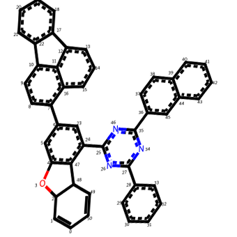 C1=CC2Oc3cc(-c4ccc5c6c(cccc46)-c4ccccc4-5)cc(-c4nc(-c5ccccc5)nc(-c5ccc6ccccc6c5)n4)c3C2C=C1